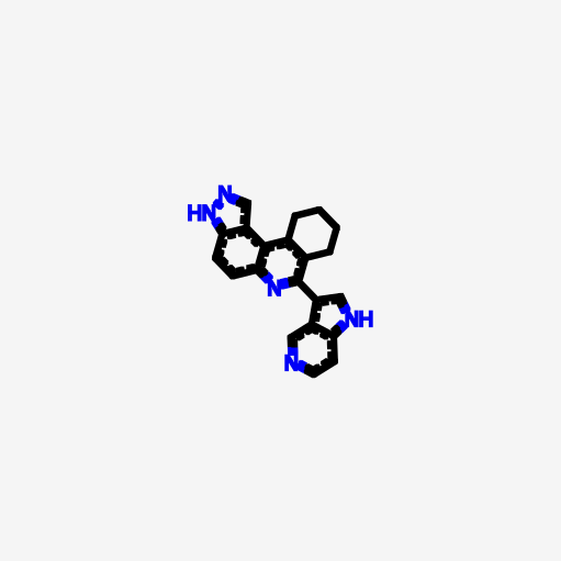 c1cc2[nH]cc(-c3nc4ccc5[nH]ncc5c4c4c3CCCC4)c2cn1